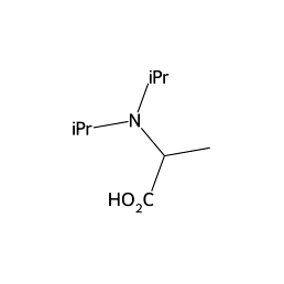 CC(C)N(C(C)C)C(C)C(=O)O